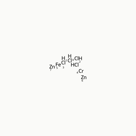 Cl.Cl.Cl.Cl.[Cr].[Fe].[Zn].[Zn]